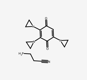 N#CCCP.O=C1C=C(N2CC2)C(=O)C(N2CC2)=C1N1CC1